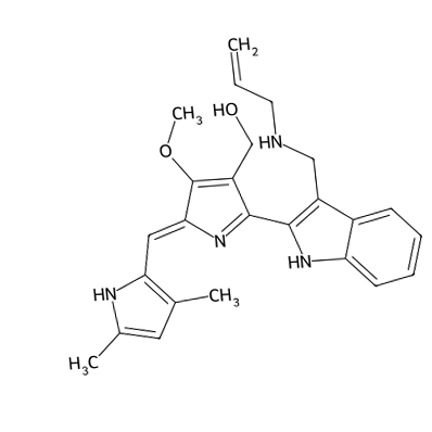 C=CCNCc1c(C2=NC(=Cc3[nH]c(C)cc3C)C(OC)=C2CO)[nH]c2ccccc12